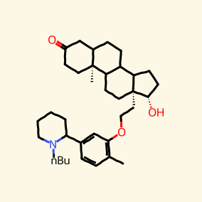 CCCCN1CCCCC1c1ccc(C)c(OCC[C@]23CCC4C(CCC5CC(=O)CC[C@@]54C)C2CC[C@@H]3O)c1